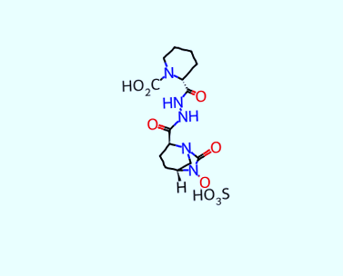 O=C(NNC(=O)[C@@H]1CC[C@@H]2CN1C(=O)N2OS(=O)(=O)O)[C@H]1CCCCN1C(=O)O